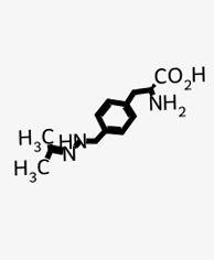 CC(C)=NNCc1ccc(C[C@H](N)C(=O)O)cc1